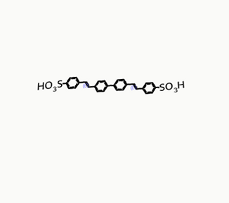 O=S(=O)(O)c1ccc(/C=C/c2ccc(-c3ccc(/C=C/c4ccc(S(=O)(=O)O)cc4)cc3)cc2)cc1